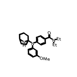 CCN(CC)C(=O)c1ccc(N(c2cccc(OC)c2)C23CCCC(CC2)N3)cc1